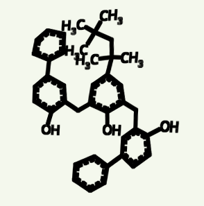 CC(C)(C)CC(C)(C)c1cc(Cc2cc(-c3ccccc3)ccc2O)c(O)c(Cc2cc(-c3ccccc3)ccc2O)c1